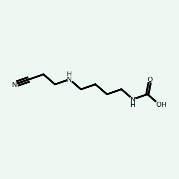 N#CCCNCCCCNC(=O)O